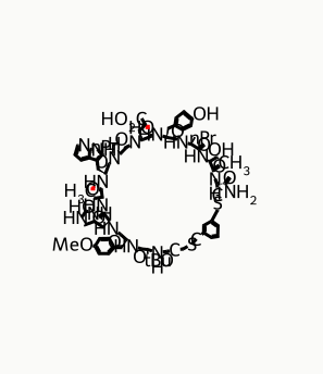 CCC[C@@H]1NC(=O)[C@H](CC2CNc3ncccc32)NC(=O)[C@H]([C@@H](C)O)NC(=O)[C@H](CC2CNCN2)NC(=O)[C@H](Cc2ccc(OC)cc2)NC(=O)[C@H](C(C)(C)C)NC(=O)CCSCc2cccc(c2)CSC[C@@H](C(N)=O)NC(=O)[C@H]([C@@H](C)O)NC(=O)[C@H](CCC)NC(=O)[C@H](Cc2ccc(O)cc2)NC(=O)[C@H](CCC(=O)O)NC1=O